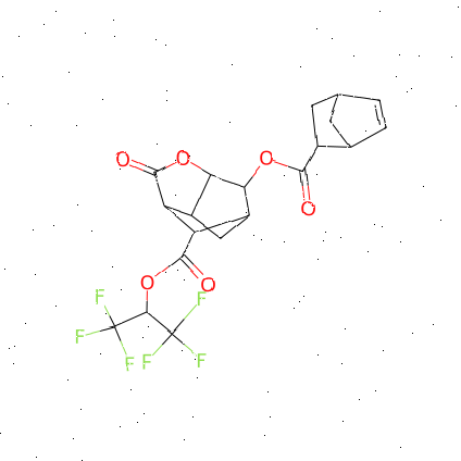 O=C(OC1C2CC3C1OC(=O)C3C2C(=O)OC(C(F)(F)F)C(F)(F)F)C1CC2C=CC1C2